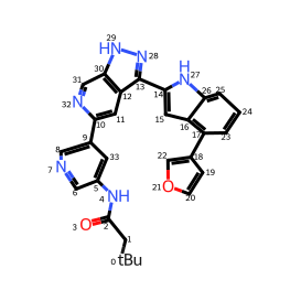 CC(C)(C)CC(=O)Nc1cncc(-c2cc3c(-c4cc5c(-c6ccoc6)cccc5[nH]4)n[nH]c3cn2)c1